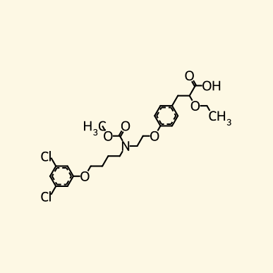 CCOC(Cc1ccc(OCCN(CCCCOc2cc(Cl)cc(Cl)c2)C(=O)OC)cc1)C(=O)O